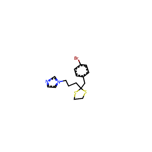 Brc1ccc(CC2(CCCn3ccnc3)SCCS2)cc1